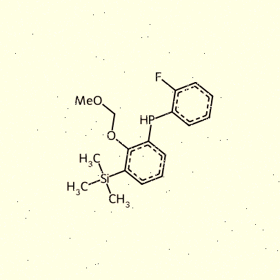 COCOc1c(Pc2ccccc2F)cccc1[Si](C)(C)C